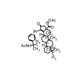 CC(=O)NC(C)(C)c1ccccc1.CC(=O)OOC(=O)[C@@]12CC[C@]3(C)[C@H](CC[C@@H]4[C@@]5(C)CCCC(C)(C)[C@@H]5CC[C@]43C)C1=C(C(C)C)C(=O)C2